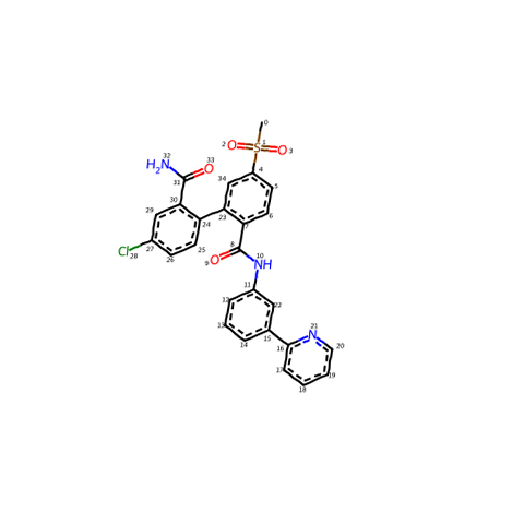 CS(=O)(=O)c1ccc(C(=O)Nc2cccc(-c3ccccn3)c2)c(-c2ccc(Cl)cc2C(N)=O)c1